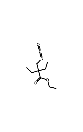 CCOC(=O)C(CC)(CC)CN=C=O